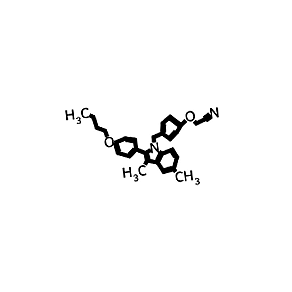 CCCCOc1ccc(-c2c(C)c3cc(C)ccc3n2Cc2ccc(OCC#N)cc2)cc1